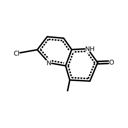 Cc1cc(=O)[nH]c2ccc(Cl)nc12